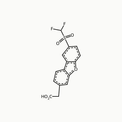 O=C(O)Cc1ccc2c(c1)oc1ccc(S(=O)(=O)C(F)F)cc12